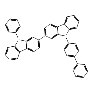 c1ccc(-c2ccc(-n3c4ccccc4c4ccc(-c5ccc6c7cnccc7n(-c7ccccc7)c6c5)cc43)cc2)cc1